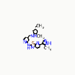 CC[C@H]1CC(NCc2ccnc(Nc3nc4ccc(-c5cn[nH]c5C)nc4s3)c2)[C@@H](C)C1